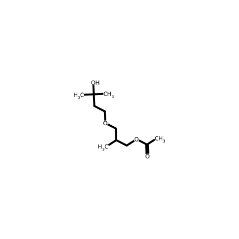 CC(=O)OCC(C)COCCC(C)(C)O